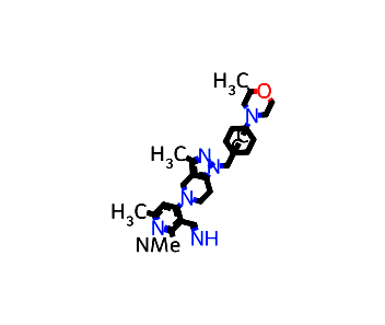 CNc1nc(C)cc(N2CCc3c(c(C)nn3CC34CCC(N5CCO[C@@H](C)C5)(CC3)CC4)C2)c1C=N